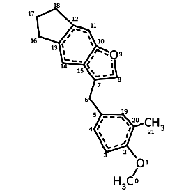 COc1ccc(Cc2coc3cc4c(cc23)CCC4)cc1C